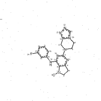 [O-][S+]1CCc2nc(N3CCn4cnnc4C3)nc(Nc3cccc(F)c3)c21